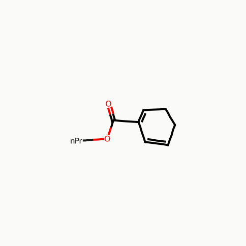 CCCOC(=O)C1=CCCC=C1